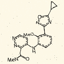 CNC(=O)c1nnccc1Nc1cccc(-c2noc(C3CC3)n2)c1OC